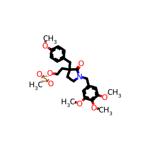 COc1ccc(CC2(CCOS(C)(=O)=O)CCN(Cc3cc(OC)c(OC)c(OC)c3)C2=O)cc1